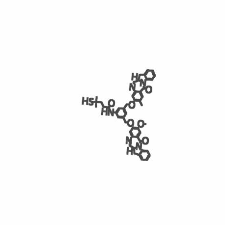 COc1cc2c(cc1OCc1cc(COc3cc4c(cc3C)C(=O)N3c5ccccc5C[C@H]3C=N4)cc(NC(=O)CCC(C)(C)S)c1)N=C[C@@H]1Cc3ccccc3N1C2=O